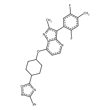 Cc1cc(F)c(-c2c(C)nn3c(OC4CCC(c5nc(C(C)C)no5)CC4)ccnc23)cc1F